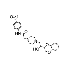 C[S+]([O-])c1ccc(NC(=O)CN2CCN(CC(O)C3COc4ccccc4O3)CC2)cc1